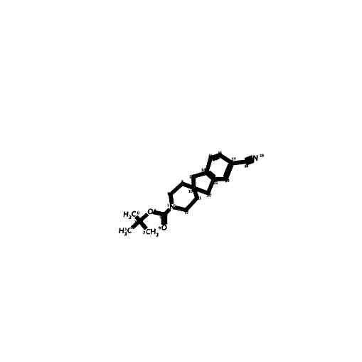 CC(C)(C)OC(=O)N1CCC2(CC1)Cc1ccc(C#N)cc1C2